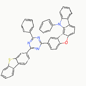 c1ccc(-c2nc(-c3ccc4c(c3)sc3ccccc34)nc(-c3ccc4oc5ccc6c7ccccc7n(-c7ccccc7)c6c5c4c3)n2)cc1